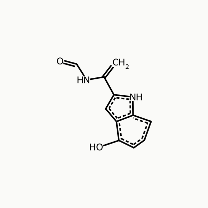 C=C(NC=O)c1cc2c(O)cccc2[nH]1